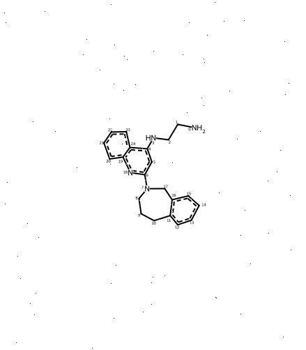 NCCNc1cc(N2CCCc3ccccc3C2)nc2ccccc12